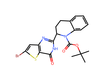 CC(C)(C)OC(=O)N1c2ccccc2CCC1c1nc2cc(Br)sc2c(=O)[nH]1